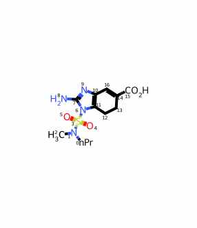 CCCN(C)S(=O)(=O)n1c(N)nc2c1CCC(C(=O)O)=C2